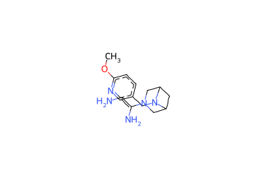 COc1ccc(CN2C3CC2CN(/C(N)=C/N)C3)cn1